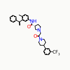 C=C(c1ccccc1)c1cc(NC(=O)[C@@H]2CCN(CC(=O)N3CCC(c4cccc(C(F)(F)F)c4)CC3)C2)ccc1C